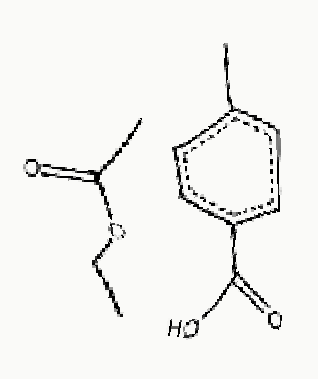 CCOC(C)=O.Cc1ccc(C(=O)O)cc1